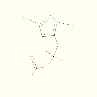 CCn1nc(C#N)cc1CC(C)(C)OC(=O)C(F)(F)F